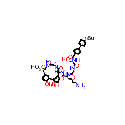 CCCCc1ccc(-c2ccc(C(=O)N[C@H](CO)C(=O)N[C@H](C)C(=O)N[C@@H](CCCCN)C(=O)N(C)[C@@H]3C(=O)N[C@@H](C)C(=O)N[C@H](C(=O)O)Cc4ccc(O)c(c4)-c4cc3ccc4O)cc2)cc1